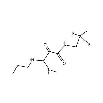 CCCNC(NC)C(=O)C(=O)NCC(F)(F)F